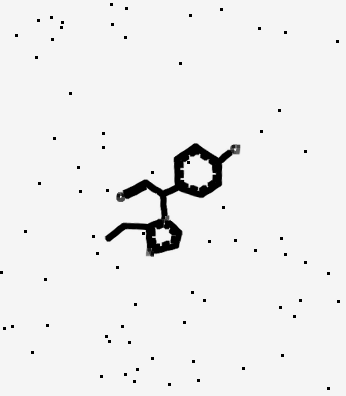 CCc1nccn1C(C=O)c1ccc(Cl)cc1